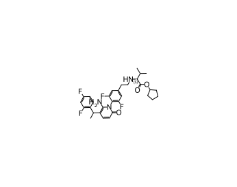 CC(c1ccc(F)cc1F)c1ccc(=O)n(-c2c(F)cc(CCN[C@H](C(=O)OC3CCCC3)C(C)C)cc2F)c1N